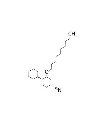 CCCCCCCCCCO[C@@H]1C[C@H](C#N)CC[C@H]1C1CCCCC1